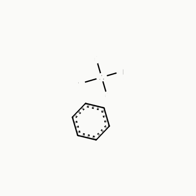 [Cl][W]([Cl])([Cl])[Cl].[c]1ccccc1